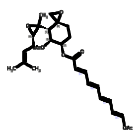 CO[C@H]1[C@H](C2(C)O[C@@H]2CC=C(C)C)[C@]2(CC[C@H]1OC(=O)/C=C/C=C/C=C/C=C/OC(C)=O)CO2